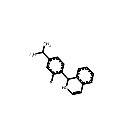 CC(N)c1ccc(C2NC=Cc3[c]cccc32)c(F)c1